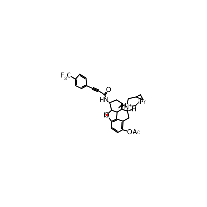 CC(=O)Oc1ccc2c3c1C[C@@H]1[C@@H]4CC[C@H](NC(=O)C#Cc5ccc(C(F)(F)F)cc5)[C@H](O2)[C@]34CC[N+]1(CC(C)C)CC1CC1